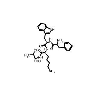 C[C@@H](O)[C@@H]([C]=O)NC(=O)[C@H](CCCCN)NC(=O)[C@@H](Cc1c[nH]c2ccccc12)NC(=O)[C@@H](N)Cc1ccccc1